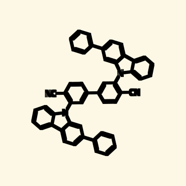 N#Cc1ccc(-c2ccc(C#N)c(-n3c4ccccc4c4ccc(-c5ccccc5)cc43)c2)cc1-n1c2ccccc2c2ccc(-c3ccccc3)cc21